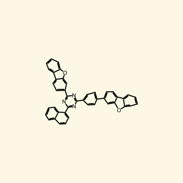 c1ccc2c(-c3nc(-c4ccc(-c5ccc6c(c5)oc5ccccc56)cc4)nc(-c4ccc5c(c4)oc4ccccc45)n3)cccc2c1